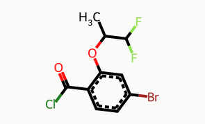 CC(Oc1cc(Br)ccc1C(=O)Cl)C(F)F